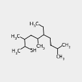 CCC(CCC(C)C)C(C)CC(C)C(C)S